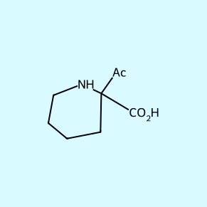 CC(=O)C1(C(=O)O)CCCCN1